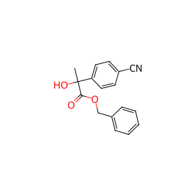 CC(O)(C(=O)OCc1ccccc1)c1ccc(C#N)cc1